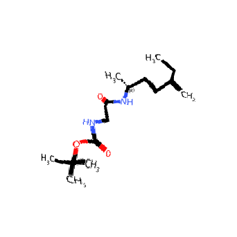 C=C(CC)CC[C@@H](C)NC(=O)CNC(=O)OC(C)(C)C